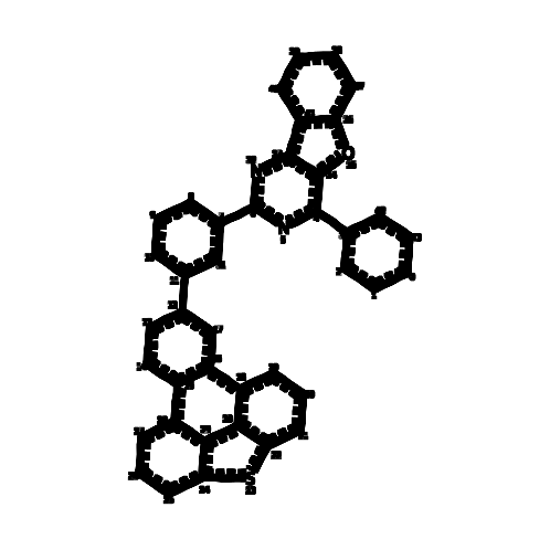 c1ccc(-c2nc(-c3cccc(-c4ccc5c(c4)c4cccc6sc7cccc5c7c64)c3)nc3c2oc2ccccc23)cc1